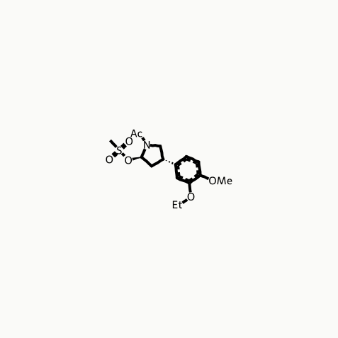 CCOc1cc([C@@H]2C[C@@H](OS(C)(=O)=O)N(C(C)=O)C2)ccc1OC